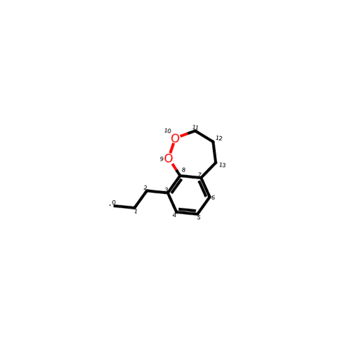 [CH2]CCc1cccc2c1OOCCC2